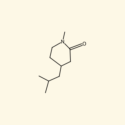 CC(C)CC1CCN(C)C(=O)C1